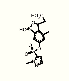 Cc1cc(OS(=O)(=O)c2ccnn2C)cc2c1C(CC(=O)O)OB2O